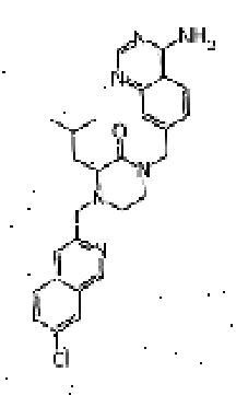 CC(C)CC1C(=O)N(Cc2ccc3c(N)ncnc3c2)CCN1Cc1cc2ccc(Cl)cc2cn1